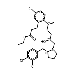 CCOC(=O)CCc1cc(Cl)ccc1[C@@H](C)OC[C@H](O)CN1CCC[C@H]1Cc1ccc(Cl)c(Cl)c1